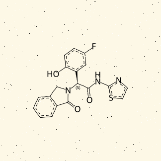 O=C(Nc1nccs1)[C@H](c1cc(F)ccc1O)N1Cc2ccccc2C1=O